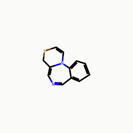 C1=CN2C(=CN=Cc3ccccc32)CS1